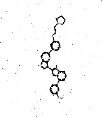 COc1cccc(-c2cccc3[nH]c(-c4n[nH]c5ccc(-c6cncc(OCCN7CCCC7)c6)nc45)nc23)c1